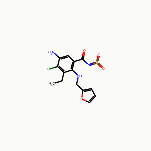 CCc1c(Cl)c(N)cc(C(=O)N=S(=O)=O)c1NCc1ccco1